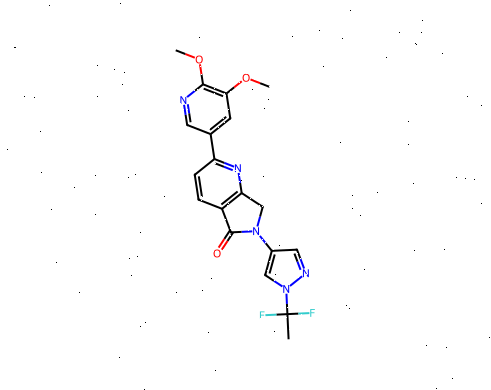 COc1cc(-c2ccc3c(n2)CN(c2cnn(C(C)(F)F)c2)C3=O)cnc1OC